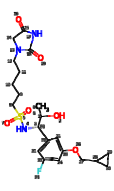 CC(O)[C@@H](NS(=O)(=O)CCCCCN1CC(=O)NC1=O)c1cc(F)cc(OCC2CC2)c1